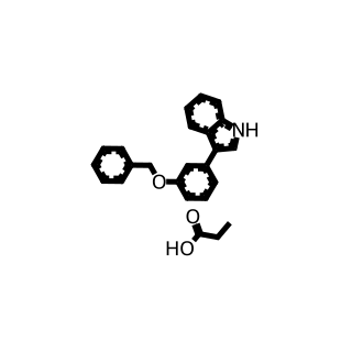 CCC(=O)O.c1ccc(COc2cccc(-c3c[nH]c4ccccc34)c2)cc1